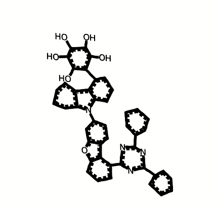 Oc1c(O)c(O)c(-c2cccc3c2c2ccccc2n3-c2ccc3c(c2)oc2cccc(-c4nc(-c5ccccc5)nc(-c5ccccc5)n4)c23)c(O)c1O